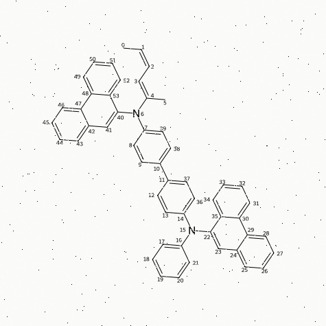 C/C=C\C=C(/C)N(c1ccc(-c2ccc(N(c3ccccc3)c3cc4ccccc4c4ccccc34)cc2)cc1)c1cc2ccccc2c2ccccc12